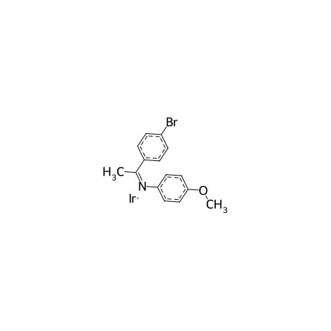 COc1ccc(N=C(C)c2ccc(Br)cc2)cc1.[Ir]